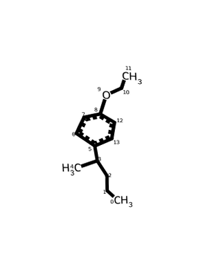 CCCC(C)c1ccc(OCC)cc1